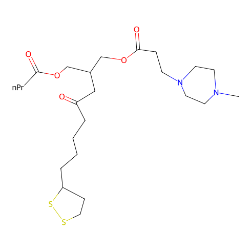 CCCC(=O)OCC(COC(=O)CCN1CCN(C)CC1)CC(=O)CCCCC1CCSS1